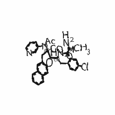 CC(=O)N(c1cccnc1)[C@@](Cc1ccc2ccccc2c1)(C(=O)O)C(=O)[C@H](Cc1ccc(Cl)cc1)NC(=O)[C@H](C)N